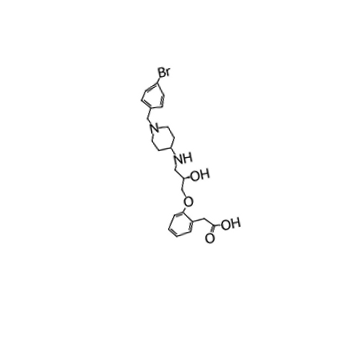 O=C(O)Cc1ccccc1OC[C@H](O)CNC1CCN(Cc2ccc(Br)cc2)CC1